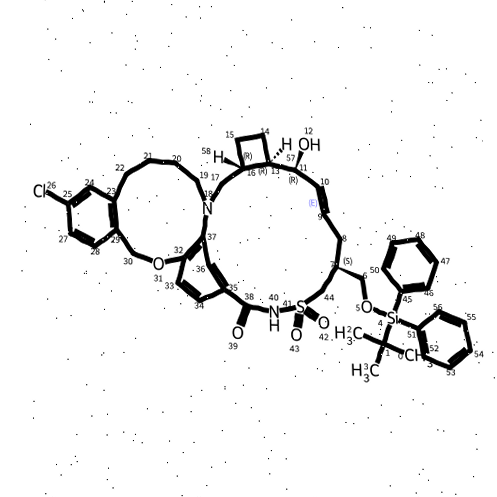 CC(C)(C)[Si](OC[C@@H]1C/C=C/[C@H](O)[C@@H]2CC[C@H]2CN2CCCCc3cc(Cl)ccc3COc3ccc(cc32)C(=O)NS(=O)(=O)C1)(c1ccccc1)c1ccccc1